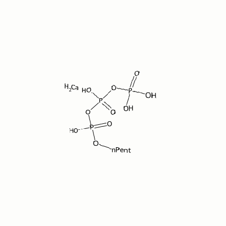 CCCCCOP(=O)(O)OP(=O)(O)OP(=O)(O)O.[CaH2]